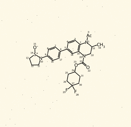 CC(=O)N1c2ccc(-c3ccc(N4CCC[S+]4[O-])cc3)cc2N(C(=O)OC2CCC(F)(F)CC2)CC1C